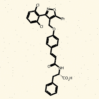 CC(C)c1onc(-c2c(Cl)cccc2Cl)c1COc1ccc(/C=C/C(=O)N[C@@H](Cc2ccccc2)C(=O)O)cc1